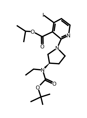 CCN(C(=O)OC(C)(C)C)[C@@H]1CCN(c2nccc(I)c2C(=O)OC(C)C)C1